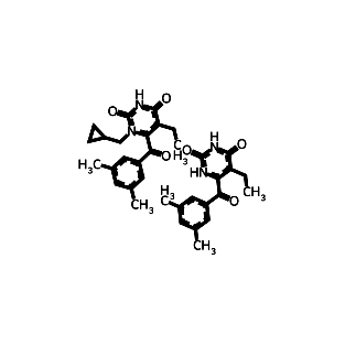 CCc1c(C(=O)c2cc(C)cc(C)c2)[nH]c(=O)[nH]c1=O.CCc1c(C(=O)c2cc(C)cc(C)c2)n(CC2CC2)c(=O)[nH]c1=O